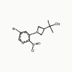 CC(C)(O)C1CN(c2cc(Br)cnc2[N+](=O)[O-])C1